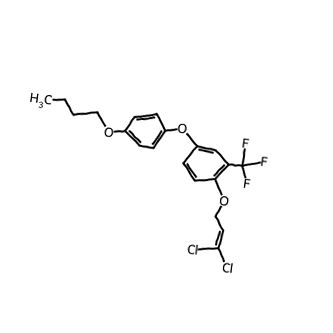 CCCCOc1ccc(Oc2ccc(OCC=C(Cl)Cl)c(C(F)(F)F)c2)cc1